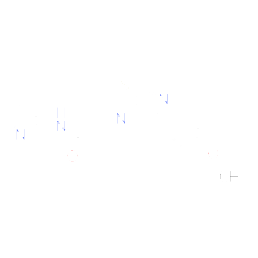 CCOc1ccc(-c2cc(N3CCC(C(=O)NCc4ccccn4)CC3)c3sccc3n2)cc1